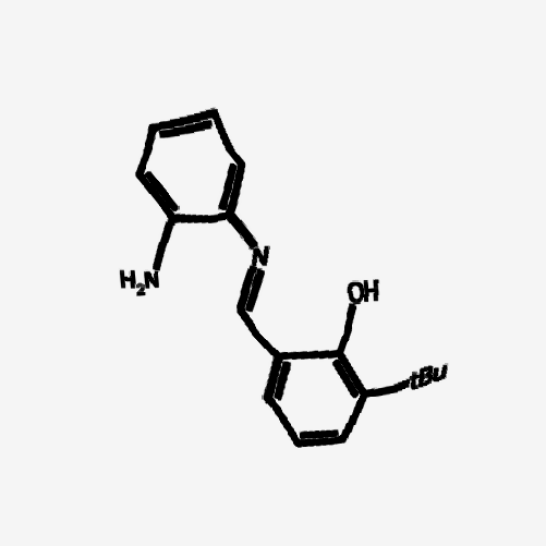 CC(C)(C)c1cccc(C=Nc2ccccc2N)c1O